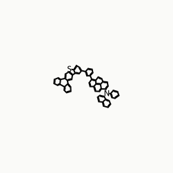 c1ccc(N(c2cccc3ccccc23)c2ccc3ccc4c(-c5cccc(-c6ccc7sc8cc9c%10ccccc%10c%10ccccc%10c9cc8c7c6)c5)ccc5ccc2c3c54)cc1